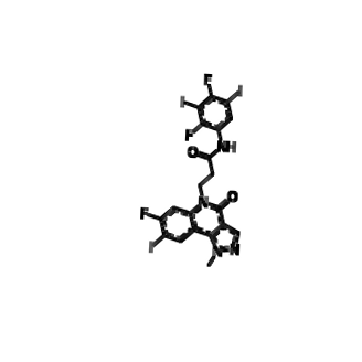 Cn1ncc2c(=O)n(CCC(=O)Nc3cc(I)c(F)c(I)c3F)c3cc(F)c(I)cc3c21